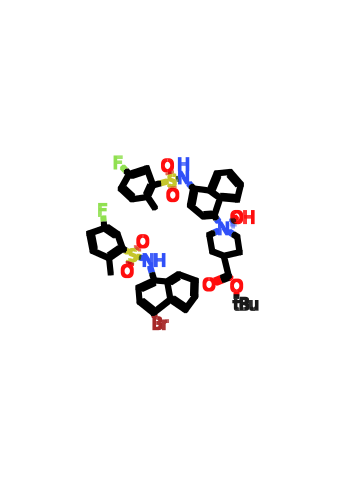 Cc1ccc(F)cc1S(=O)(=O)Nc1ccc(Br)c2ccccc12.Cc1ccc(F)cc1S(=O)(=O)Nc1ccc([N+]2(O)CCC(C(=O)OC(C)(C)C)CC2)c2ccccc12